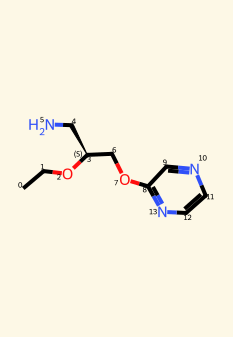 CCO[C@@H](CN)COc1cnccn1